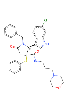 O=C1C[C@@](Sc2ccccc2)(C(=O)NCCCN2CCOCC2)[C@H](c2c[nH]c3cc(Cl)ccc23)N1Cc1ccccc1